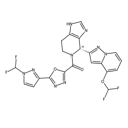 O=C(c1nnc(-c2ccn(C(F)F)n2)o1)N1CCc2[nH]cnc2[C@@H]1c1cc2c(OC(F)F)cccn2n1